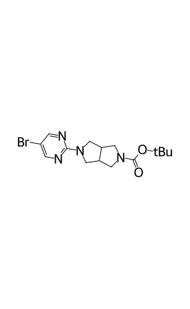 CC(C)(C)OC(=O)N1CC2CN(c3ncc(Br)cn3)CC2C1